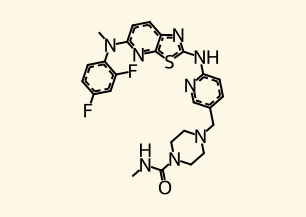 CNC(=O)N1CCN(Cc2ccc(Nc3nc4ccc(N(C)c5ccc(F)cc5F)nc4s3)nc2)CC1